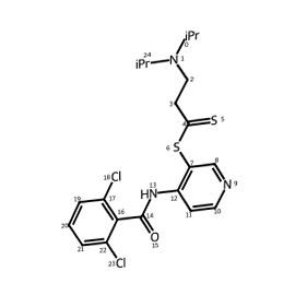 CC(C)N(CCC(=S)Sc1cnccc1NC(=O)c1c(Cl)cccc1Cl)C(C)C